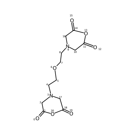 O=C1CN(CCOCCN2CC(=O)OC(=O)C2)CC(=O)O1